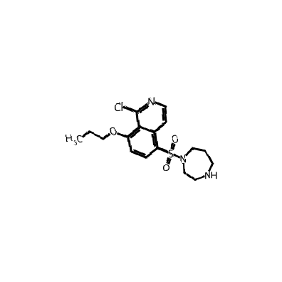 CCCOc1ccc(S(=O)(=O)N2CCCNCC2)c2ccnc(Cl)c12